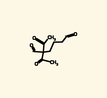 CC(=O)C([C]=O)(CCC[C]=O)C(C)=O